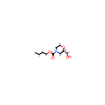 CCCCOC(=O)N1CCO[C@@H](CO)C1